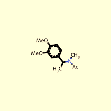 COc1ccc(C(C)N(C)C(C)=O)cc1OC